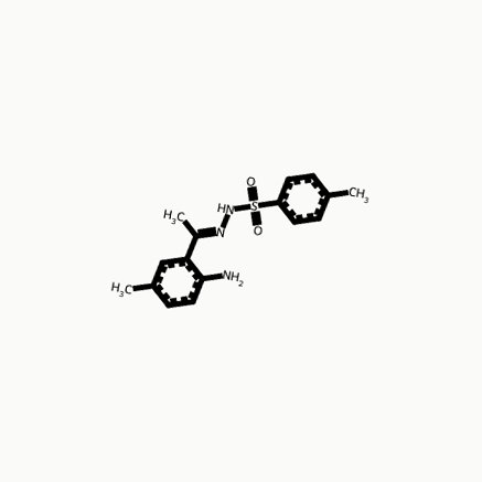 C/C(=N\NS(=O)(=O)c1ccc(C)cc1)c1cc(C)ccc1N